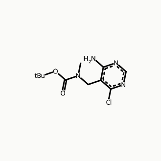 CN(Cc1c(N)ncnc1Cl)C(=O)OC(C)(C)C